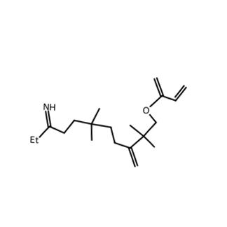 C=CC(=C)OCC(C)(C)C(=C)CCC(C)(C)CCC(=N)CC